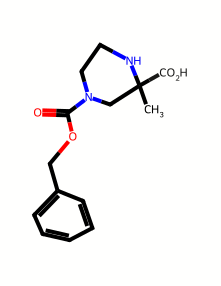 CC1(C(=O)O)CN(C(=O)OCc2ccccc2)CCN1